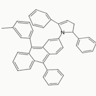 Cc1cccc(-c2c3ccccc3c(-c3ccccc3)c3ccc(N4C(c5ccccc5)=CCC4c4ccccc4)cc23)c1